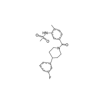 Cc1ccc(C(=O)N2CCC(c3cccc(F)c3)CC2)cc1NS(C)(=O)=O